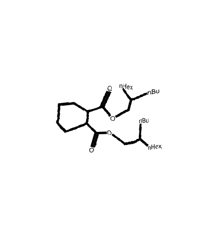 CCCCCCC(CCCC)COC(=O)C1CCCCC1C(=O)OCC(CCCC)CCCCCC